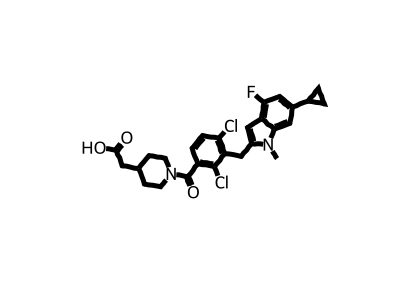 Cn1c(Cc2c(Cl)ccc(C(=O)N3CCC(CC(=O)O)CC3)c2Cl)cc2c(F)cc(C3CC3)cc21